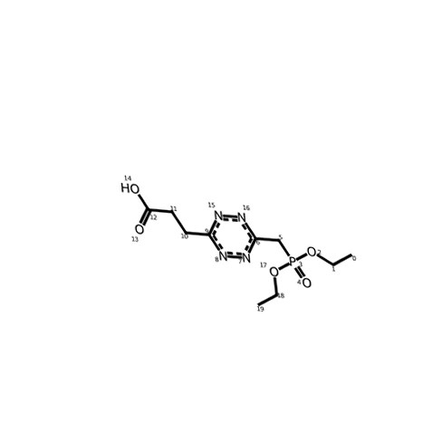 CCOP(=O)(Cc1nnc(CCC(=O)O)nn1)OCC